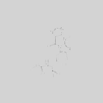 COC(=O)NC(C(=O)O)C(O)Cc1c(C)nc2n1C(=O)C1N=CN(C)C1N2C